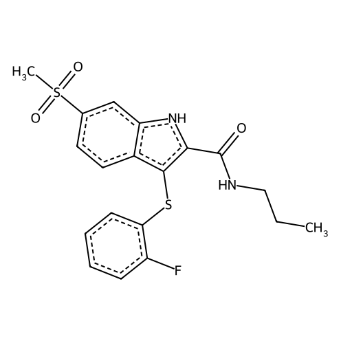 CCCNC(=O)c1[nH]c2cc(S(C)(=O)=O)ccc2c1Sc1ccccc1F